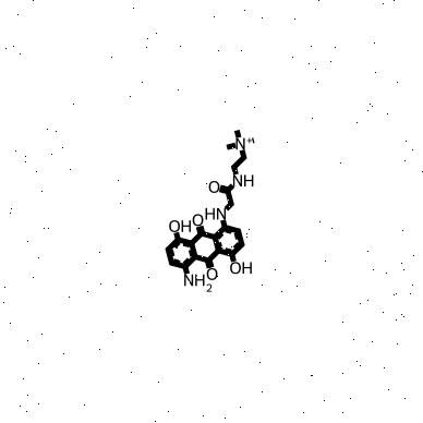 C[N+](C)(C)CCNC(=O)CNc1ccc(O)c2c1C(=O)c1c(O)ccc(N)c1C2=O